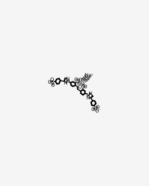 O=S(=O)([O-])c1ccc(-c2cnn(-c3ccc(C=Cc4ccc(-n5ncc(-c6ccc(S(=O)(=O)[O-])cc6)n5)cc4S(=O)(=O)[O-])c(S(=O)(=O)[O-])c3)n2)cc1.[Na+].[Na+].[Na+].[Na+]